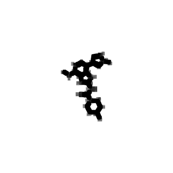 COc1ncc(-c2cnn(C)c2)c2sc(NC(=O)N3CCC(C)CC3)nc12